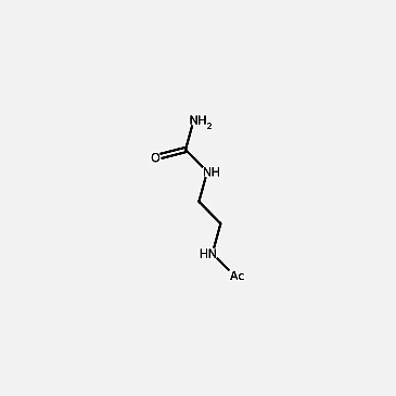 CC(=O)NCCNC(N)=O